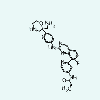 C=CC(=O)Nc1ccnc(-c2c(F)ccc3cnc(Nc4ccc(C5(CN)CNCCO5)nc4)nc23)c1